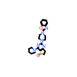 [O-][S@+]1CCc2nc(N3CCN(c4nc5ccccc5o4)CC3)nc(N3CCCCC3)c21